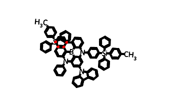 Cc1ccc([Si](c2ccccc2)(c2ccccc2)c2ccc(N3c4cccc(-c5ccccc5)c4B4c5cc([Si](c6ccccc6)(c6ccccc6)c6ccc(C)cc6)ccc5N(c5ccccc5)c5cc(-n6c7ccccc7c7ccccc76)cc3c54)cc2)cc1